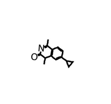 CC1=NC(=O)C(C)c2cc(C3CC3)ccc21